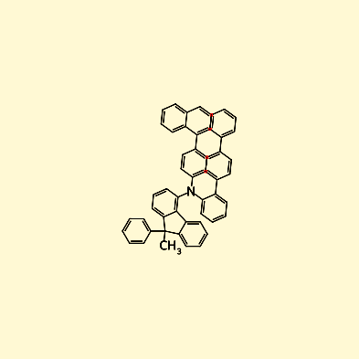 CC1(c2ccccc2)c2ccccc2-c2c(N(c3ccc(-c4cccc5ccccc45)cc3)c3ccccc3-c3ccc(-c4ccccc4)cc3)cccc21